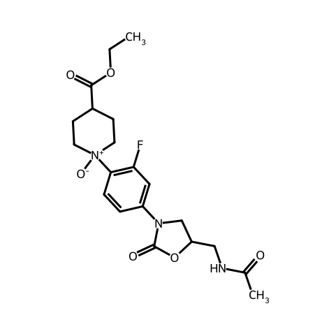 CCOC(=O)C1CC[N+]([O-])(c2ccc(N3CC(CNC(C)=O)OC3=O)cc2F)CC1